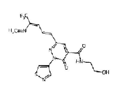 C=N/C(=C\C=C\c1cc(C(=O)NCCO)c(=O)n(-c2cnsc2)n1)C(F)(F)F